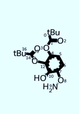 CC(C)(C)C(=O)Oc1ccc(ON)c(O)c1OC(=O)C(C)(C)C